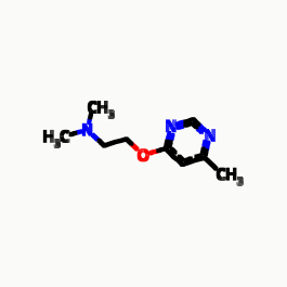 Cc1cc(OCCN(C)C)ncn1